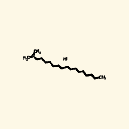 CCCCCCCCCCCCCCCCN(C)C.I